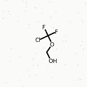 OCOC(F)(F)Cl